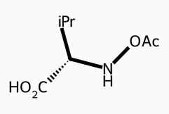 CC(=O)ON[C@H](C(=O)O)C(C)C